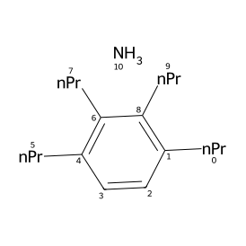 CCCc1ccc(CCC)c(CCC)c1CCC.N